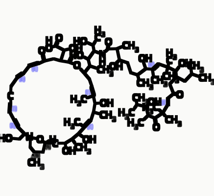 C/C1=C\CC(C(C)C(O)C(NC(=O)C(C)C(O)CCC(C)C(O)/C(C)=C/C(C)(C)C(O)C(CC(=O)/C=C/C(C)(C)C(=O)C(C)C(O)C(C)C)CC(C)C)C(C)O)OC(=O)C(C(O)C(=O)O)CC(=O)/C=C/C=C/CC/C=C/C=C/C(CO)[C@@H]2C[C@@H](C)C[C@@H](CC(O)C(C)C(O)/C(C)=C/C(C)C1O)O2